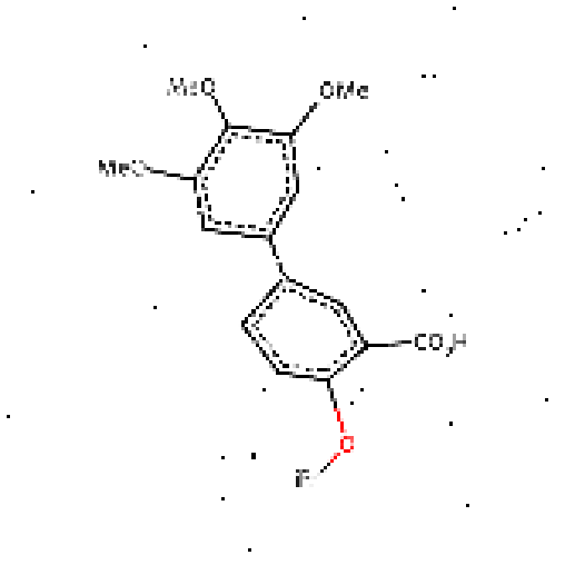 COc1cc(-c2ccc(OC(C)C)c(C(=O)O)c2)cc(OC)c1OC